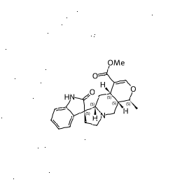 COC(=O)C1=CO[C@@H](C)[C@@H]2CN3CC[C@@]4(C(=O)Nc5ccccc54)[C@@H]3C[C@H]12